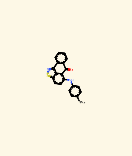 CNc1ccc(Nc2ccc3snc4c3c2C(=O)c2ccccc2-4)cc1